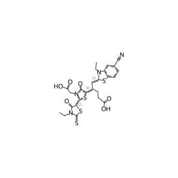 CCN1C(=O)/C(=c2/s/c(=C(/C=C3\Sc4ccc(C#N)cc4N3CC)CCC(=O)O)c(=O)n2CC(=O)O)SC1=S